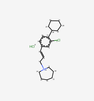 Cl.Clc1cc(C=CCN2CCCCCC2)ccc1C1CCCCC1